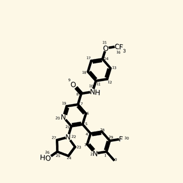 Cc1ncc(-c2cc(C(=O)Nc3ccc(OC(F)(F)F)cc3)cnc2N2CCC(O)C2)cc1F